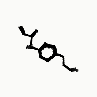 C=CC(=O)Nc1ccc(CCN)cc1